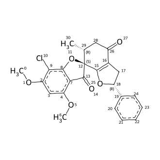 COc1cc(OC)c2c(c1Cl)O[C@]1(C2=O)C2=C(C[C@H](c3ccccc3)O2)C(=O)C[C@H]1C